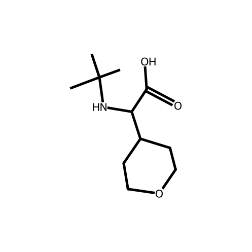 CC(C)(C)NC(C(=O)O)C1CCOCC1